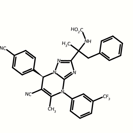 CC1=C(C#N)[C@@H](c2ccc(C#N)cc2)n2nc(C(C)(Cc3ccccc3)NC(=O)O)nc2N1c1cccc(C(F)(F)F)c1